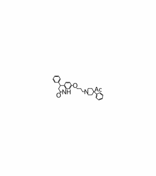 CC(=O)C1(c2ccccc2)CCN(CCCOc2ccc3c(c2)NC(=O)CC3c2ccccc2)CC1